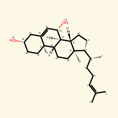 CC(C)=CCC[C@@H](C)[C@H]1CC[C@H]2[C@@H]3[C@@H](O)C=C4C[C@@H](O)CC[C@]4(C)[C@H]3CC[C@]12C